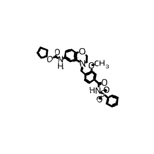 COc1cc(C(=O)NS(=O)(=O)c2ccccc2)ccc1CN1CCOc2ccc(NC(=O)OC3CCCC3)cc21